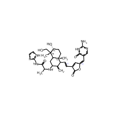 C=C1C(NC(C)C(=O)Nc2ncc[nH]2)CC2[C@](C)(CC[C@@H](O)[C@@]2(C)CO)C1/C=C/C1=CC(=C\c2cnc(N)[nH]c2=O)/OC1=O